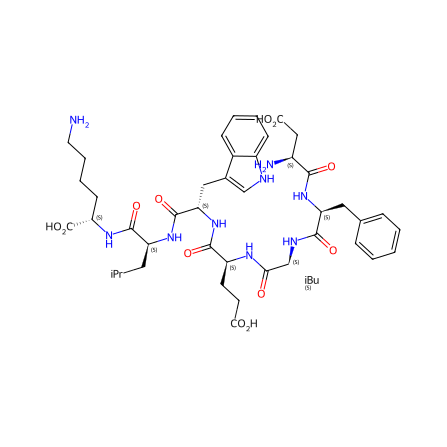 CC[C@H](C)[C@H](NC(=O)[C@H](Cc1ccccc1)NC(=O)[C@@H](N)CC(=O)O)C(=O)N[C@@H](CCC(=O)O)C(=O)N[C@@H](Cc1c[nH]c2ccccc12)C(=O)N[C@@H](CC(C)C)C(=O)N[C@@H](CCCCN)C(=O)O